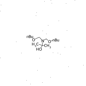 CCCCOCN(COCCCC)C(C)(C)O